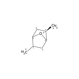 CC1CC2OC1C[C@H]2C